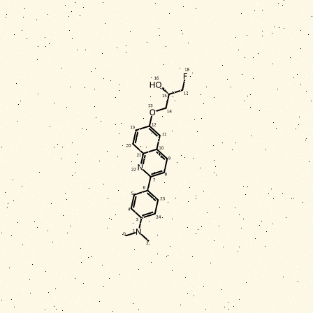 CN(C)c1ccc(-c2ccc3cc(OC[C@@H](O)CF)ccc3n2)cc1